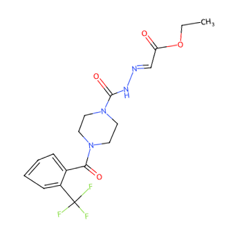 CCOC(=O)/C=N/NC(=O)N1CCN(C(=O)c2ccccc2C(F)(F)F)CC1